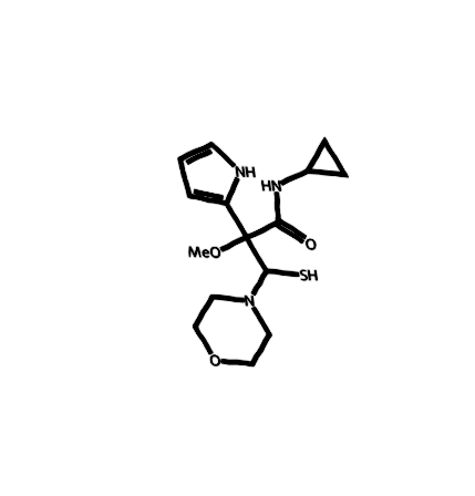 COC(C(=O)NC1CC1)(c1ccc[nH]1)C(S)N1CCOCC1